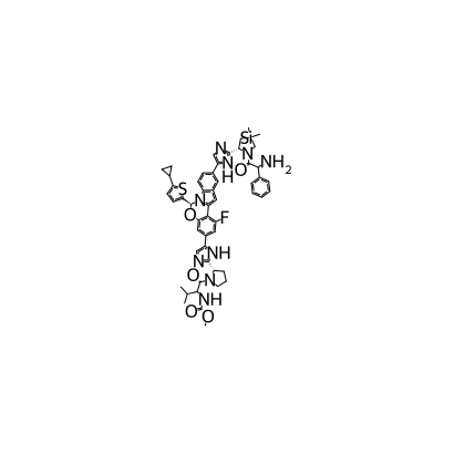 COC(=O)N[C@H](C(=O)N1CCC[C@H]1c1ncc(-c2cc(F)c3c(c2)O[C@@H](c2ccc(C4CC4)s2)n2c-3cc3cc(-c4cnc([C@@H]5C[Si](C)(C)CN5C(=O)[C@@H](N)c5ccccc5)[nH]4)ccc32)[nH]1)C(C)C